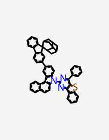 c1ccc(-c2nc(-n3c4ccc(-c5ccc6c(c5)C5(c7ccccc7-6)C6CC7CC(C6)CC5C7)cc4c4c5ccccc5ccc43)nc3c2sc2ccccc23)cc1